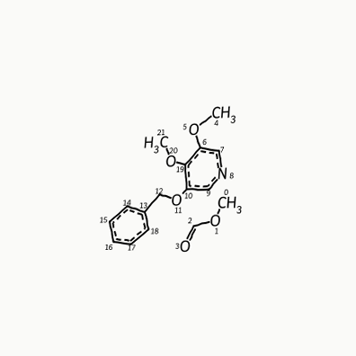 COC=O.COc1cncc(OCc2ccccc2)c1OC